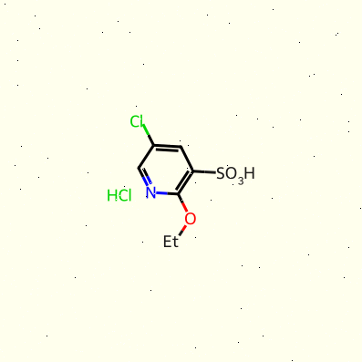 CCOc1ncc(Cl)cc1S(=O)(=O)O.Cl